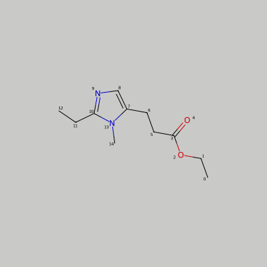 CCOC(=O)CCc1cnc(CC)n1C